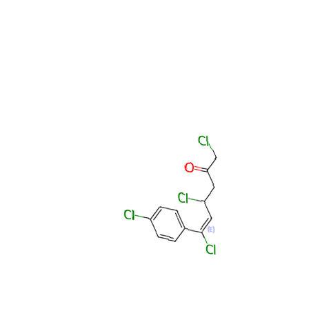 O=C(CCl)CC(Cl)/C=C(/Cl)c1ccc(Cl)cc1